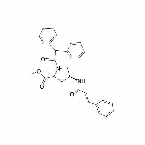 COC(=O)C1C[C@H](NC(=O)/C=C/c2ccccc2)CN1C(=O)C(c1ccccc1)c1ccccc1